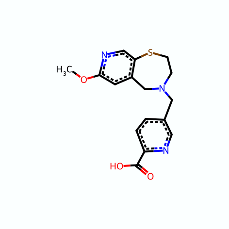 COc1cc2c(cn1)SCCN(Cc1ccc(C(=O)O)nc1)C2